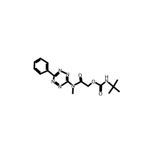 CN(C(=O)COC(=O)NC(C)(C)C)c1nnc(-c2ccccc2)nn1